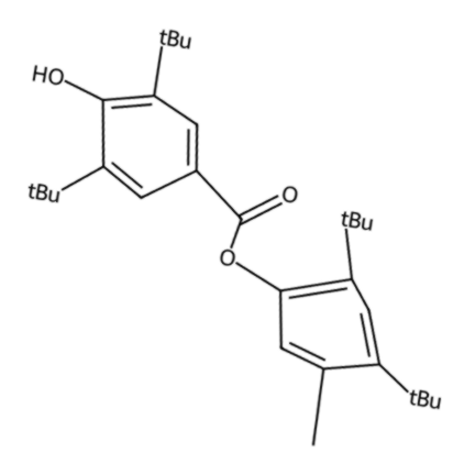 Cc1cc(OC(=O)c2cc(C(C)(C)C)c(O)c(C(C)(C)C)c2)c(C(C)(C)C)cc1C(C)(C)C